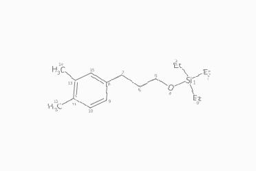 CC[Si](CC)(CC)OCCCc1ccc(C)c(C)c1